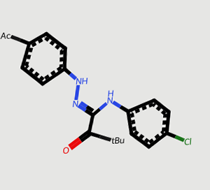 CC(=O)c1ccc(N/N=C(\Nc2ccc(Cl)cc2)C(=O)C(C)(C)C)cc1